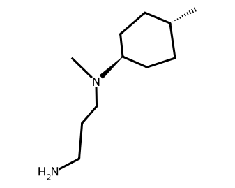 CN(CCCN)[C@H]1CC[C@H](C)CC1